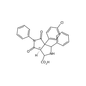 O=C(O)C1NC(c2ccccc2)C2(c3ccc(Cl)cc3)C(=O)N(c3ccccc3)C(=O)[C@H]12